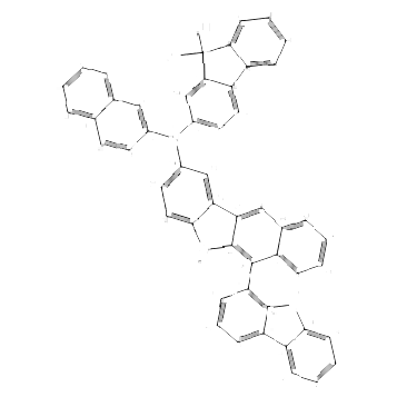 CC1(C)c2ccccc2-c2ccc(N(c3ccc4ccccc4c3)c3ccc4oc5c(-c6cccc7c6oc6ccccc67)c6ccccc6cc5c4c3)cc21